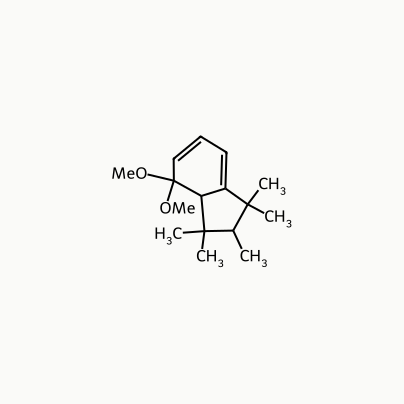 COC1(OC)C=CC=C2C1C(C)(C)C(C)C2(C)C